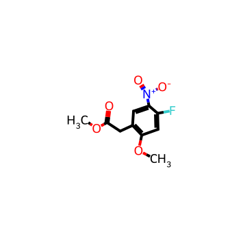 COC(=O)Cc1cc([N+](=O)[O-])c(F)cc1OC